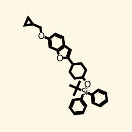 CC(C)(C)[Si](OC1CCC(c2cc3ccc(OCC4CC4)cc3o2)CC1)(c1ccccc1)c1ccccc1